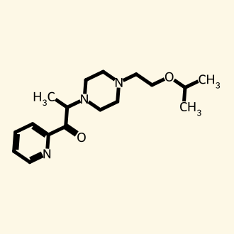 CC(C)OCCN1CCN(C(C)C(=O)c2ccccn2)CC1